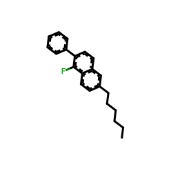 CCCCCCc1ccc2c(F)c(-c3ccccc3)ccc2c1